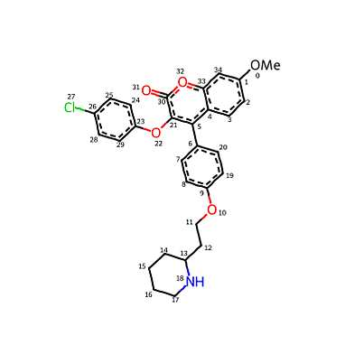 COc1ccc2c(-c3ccc(OCCC4CCCCN4)cc3)c(Oc3ccc(Cl)cc3)c(=O)oc2c1